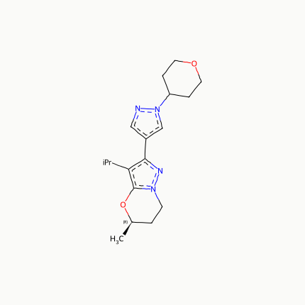 CC(C)c1c(-c2cnn(C3CCOCC3)c2)nn2c1O[C@H](C)CC2